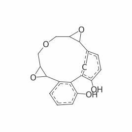 Oc1ccc2cc1-c1c(O)cccc1C1OC1COCC1OC21